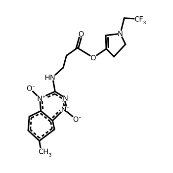 Cc1ccc2c(c1)[n+]([O-])nc(NCCC(=O)OC1=CN(CC(F)(F)F)CC1)[n+]2[O-]